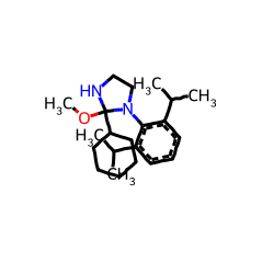 COC1(C2CCCCC2)NCCN1c1c(C(C)C)cccc1C(C)C